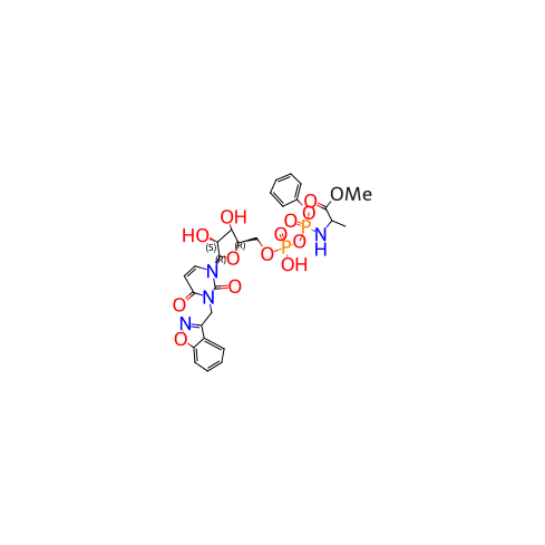 COC(=O)C(C)NP(=O)(Oc1ccccc1)OP(=O)(O)OC[C@H]1O[C@@H](n2ccc(=O)n(Cc3noc4ccccc34)c2=O)[C@@H](O)C1O